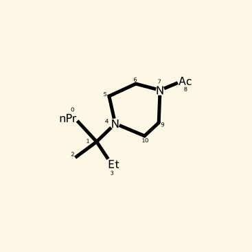 CCCC(C)(CC)N1CCN(C(C)=O)CC1